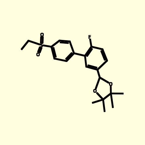 CCS(=O)(=O)c1ccc(-c2cc(C3OC(C)(C)C(C)(C)O3)ccc2F)cc1